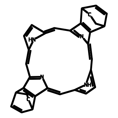 C1=CC2CCC1C1=C2c2cc3ccc(cc4nc(cc5ccc(cc1n2)[nH]5)C1=C4C2C=CC1CC2)[nH]3